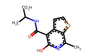 Cc1nc(O)c(C(=O)NC(C)C(=O)O)c2ccsc12